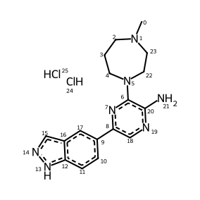 CN1CCCN(c2nc(-c3ccc4[nH]ncc4c3)cnc2N)CC1.Cl.Cl